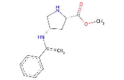 C=C(N[C@@H]1CN[C@H](C(=O)OC)C1)c1ccccc1